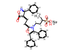 CC(CCN1C(=CC=C2C(=O)ON=C2c2ccccc2)OC(c2ccccc2)=C1c1ccccc1)S(=O)(=O)O.[Na]